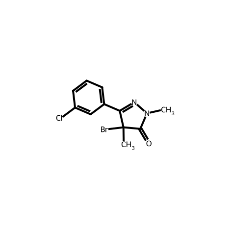 CN1N=C(c2cccc(Cl)c2)C(C)(Br)C1=O